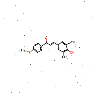 CCCCCCSc1ccc(C(=O)C=Cc2cc(C)c(O)c(C)c2)cc1